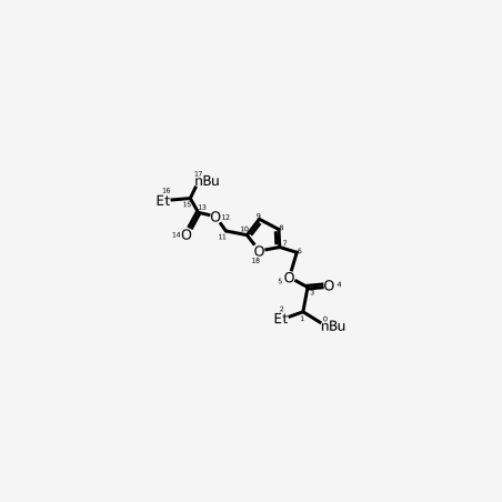 CCCCC(CC)C(=O)OCc1ccc(COC(=O)C(CC)CCCC)o1